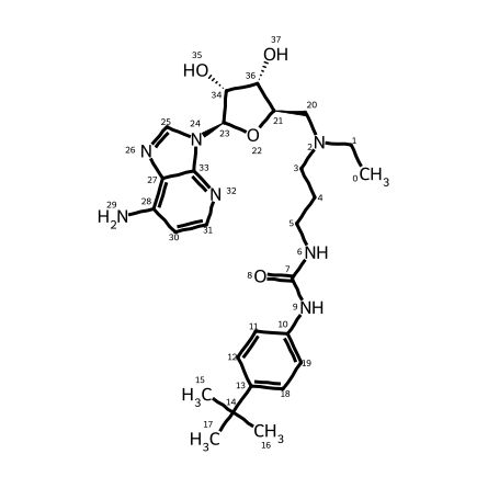 CCN(CCCNC(=O)Nc1ccc(C(C)(C)C)cc1)C[C@H]1O[C@@H](n2cnc3c(N)ccnc32)[C@H](O)[C@@H]1O